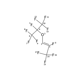 FC(=COC(F)(C(F)(F)F)C(F)(F)F)C(F)(F)F